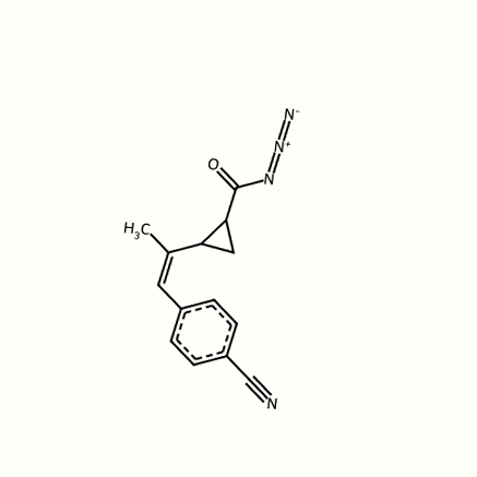 CC(=Cc1ccc(C#N)cc1)C1CC1C(=O)N=[N+]=[N-]